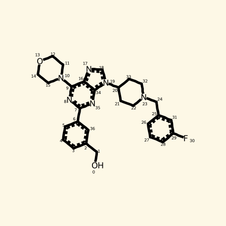 OCc1cccc(-c2nc(N3CCOCC3)c3ncn(C4CCN(Cc5cccc(F)c5)CC4)c3n2)c1